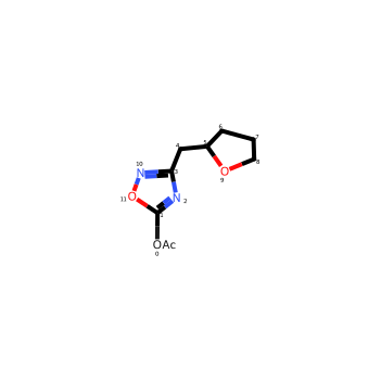 CC(=O)Oc1nc(CC2CCCO2)no1